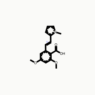 COc1cc(/C=C/c2cccn2C)c(C(=O)O)c(OC)c1